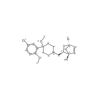 COc1ccc(Cl)cc1C1(OC)CCN(C[C@H]2C[C@H]3C=C[C@H]2C3)CC1